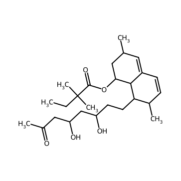 CCC(C)(C)C(=O)OC1CC(C)C=C2C=CC(C)C(CCC(O)CC(O)CC(C)=O)C21